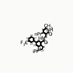 CCCc1cc(C)[nH]c(=O)c1CNC(=O)c1cc(-c2cccc(C(F)(F)F)c2)cc2c1CCN2C(C)C